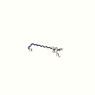 CC/C=C\C/C=C\C/C=C/CCCCCCCCOC(=O)OC(C)C(C)C